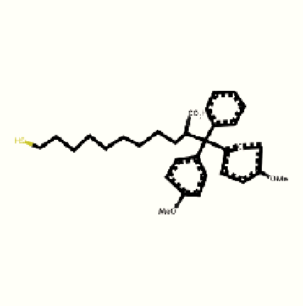 COc1ccc(C(c2ccccc2)(c2ccc(OC)cc2)C(CCCCCCCCCS)C(=O)O)cc1